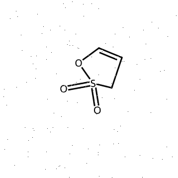 O=S1(=O)CC=CO1